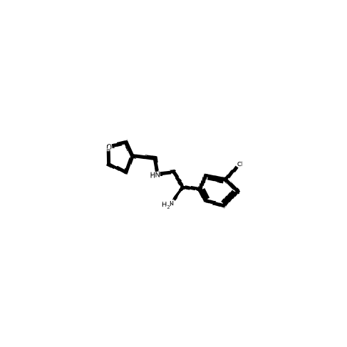 NC(CNCC1CCOC1)c1cccc(Cl)c1